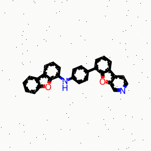 c1ccc2c(c1)oc1c(Nc3ccc(-c4cccc5c4oc4cnccc45)cc3)cccc12